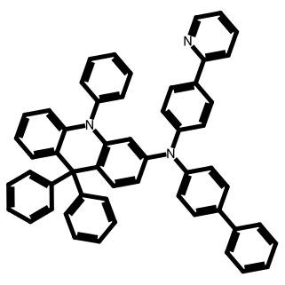 c1ccc(-c2ccc(N(c3ccc(-c4ccccn4)cc3)c3ccc4c(c3)N(c3ccccc3)c3ccccc3C4(c3ccccc3)c3ccccc3)cc2)cc1